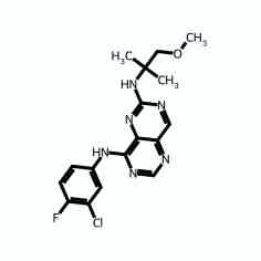 COCC(C)(C)Nc1ncc2ncnc(Nc3ccc(F)c(Cl)c3)c2n1